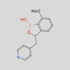 COc1cccc2c1B(O)OC2Cc1ccncc1